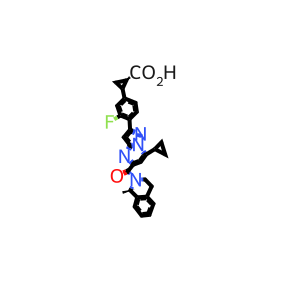 C[C@@H]1c2ccccc2CCN1C(=O)c1cc(C2CC2)n2nc(-c3ccc(C4C[C@H]4C(=O)O)cc3F)cc2n1